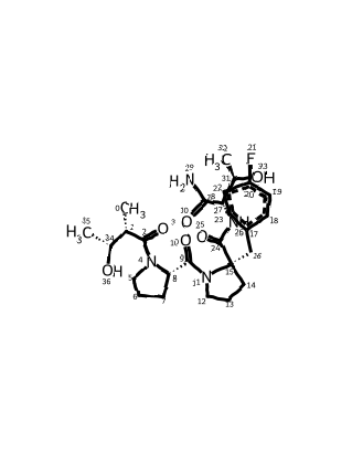 C[C@H](C(=O)N1CCC[C@H]1C(=O)N1CCC[C@]1(Cc1ccc(F)cc1)C(=O)N[C@H](C(N)=O)[C@@H](C)O)[C@@H](C)O